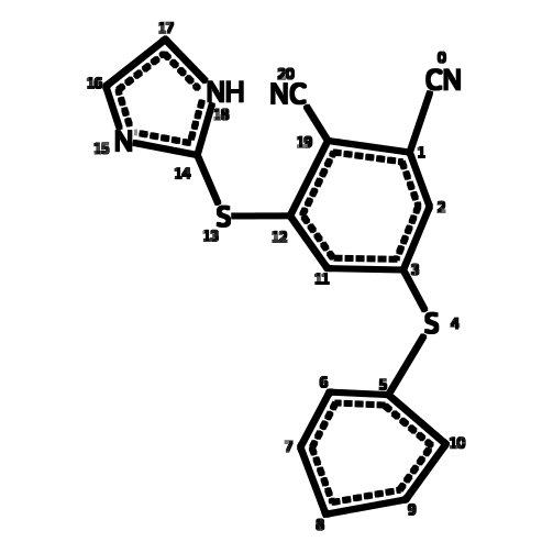 N#Cc1cc(Sc2ccccc2)cc(Sc2ncc[nH]2)c1C#N